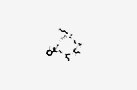 CC[C@@H](C)[C@@H]1NC(=O)C([C@@H](C)CC)NC(=O)[C@@H](Cc2c[nH]c3ccccc23)NC(=O)CCSCC[C@@H](C(=O)N(C)[C@H](CO)CCCN)NC(=O)[C@H](CC(N)=O)NC1=O